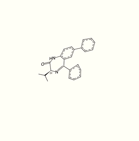 CC(C)[C@@H]1N=C(c2ccccc2)c2cc(-c3ccccc3)ccc2NC1=O